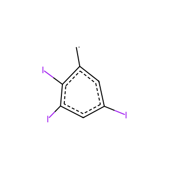 [CH2]c1cc(I)cc(I)c1I